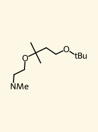 CNCCOC(C)(C)CCOC(C)(C)C